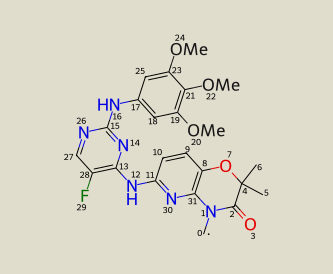 [CH2]N1C(=O)C(C)(C)Oc2ccc(Nc3nc(Nc4cc(OC)c(OC)c(OC)c4)ncc3F)nc21